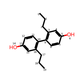 CCCc1cc(O)ccc1-c1ccc(O)cc1CCC